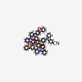 N#Cc1ccc2c(c1)c1ccccc1n2-c1ccc2c(c1)Oc1cc(-c3c(-c4ccc5oc6ccccc6c5c4)cccc3-n3c4ccccc4c4ccccc43)cc3c1B2c1ccc(-c2c(-c4ccc5c(c4)oc4ccccc45)cccc2-n2c4ccccc4c4ccccc42)cc1O3